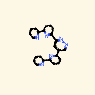 c1ccc(-c2cccc(-c3cnnc(-c4cccc(-c5ccccn5)n4)c3)n2)nc1